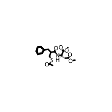 COC(=O)C[C@H](NC(=O)C(CSC(C)=O)Cc1ccccc1)C(=O)OC